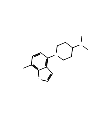 Cc1ccc(N2CCC(N(C)C)CC2)c2cc[nH]c12